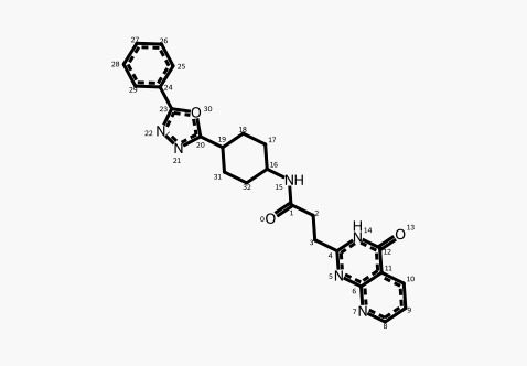 O=C(CCc1nc2ncccc2c(=O)[nH]1)NC1CCC(c2nnc(-c3ccccc3)o2)CC1